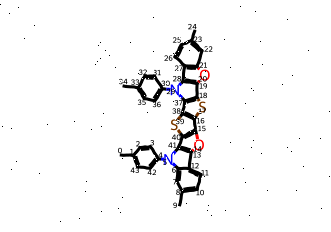 Cc1ccc(-n2c3cc(C)ccc3c3oc4c5sc6c7oc8cc(C)ccc8c7n(-c7ccc(C)cc7)c6c5sc4c32)cc1